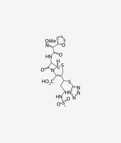 CON=C(C(=O)NC1C(=O)N2C(C(=O)O)=C(C(CCNS(C)(=O)=O)Sc3nnn[nH]3)CS[C@@H]12)c1ccco1